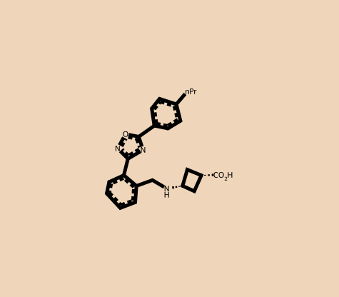 CCCc1ccc(-c2nc(-c3ccccc3CN[C@H]3C[C@@H](C(=O)O)C3)no2)cc1